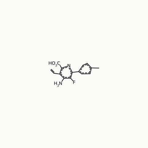 C=Cc1c(C(=O)O)nc(-c2ccc(C)cc2)c(F)c1N